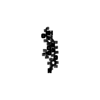 CCNC(=O)N1CC2CC(CN(CN(CCOc3ccc(C#N)cc3)C(=O)OC(C)(C)C)C2)C1